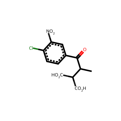 CC(C(=O)c1ccc(Cl)c([N+](=O)[O-])c1)C(C(=O)O)C(=O)O